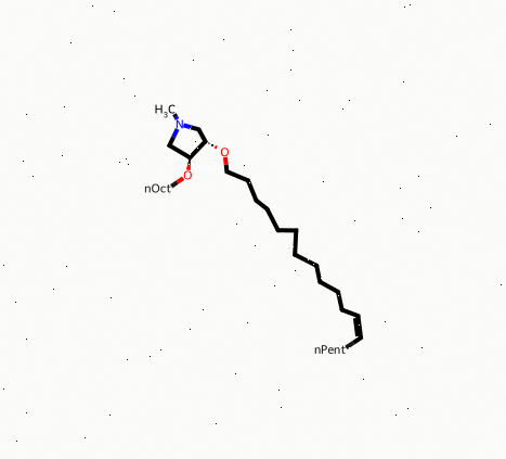 CCCCC/C=C\CCCCCCCCCCCO[C@H]1CN(C)C[C@@H]1OCCCCCCCC